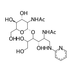 CC(=O)NC(CNc1ccccn1)[C@H](O)C(O[C@@H]1OC(CO)[C@@H](O)[C@H](O)C1NC(C)=O)C(O)CO